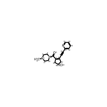 CN1CCN(C(=O)C2=C(C#Cc3ccccn3)CCC2)CC1.Cl